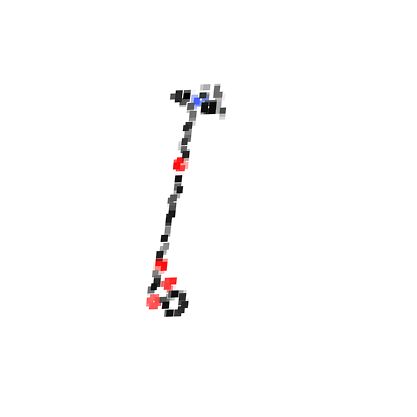 C[N+](C)(C)CCCCCCOCCCCCCCCCCOCC1COc2ccccc2O1